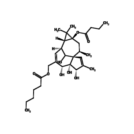 CCCCCC(=O)OCC1=C[C@@H]2C(O)[C@]3(C=C(C)[C@H](O)[C@@]3(O)[C@@H]1O)[C@H](C)C[C@]1(OC(=O)CCC)[C@H]2C1(C)C